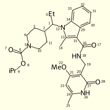 CCC(C1CCN(C(=O)OC(C)C)CC1)n1c(C)c(C(=O)NCc2c(OC)cc(C)[nH]c2=O)c2ccccc21